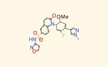 COC1C=C(c2cnn(C)c2)C(F)=CC1n1c(=O)ccc2cc(S(=O)(=O)Nc3ccon3)ccc21